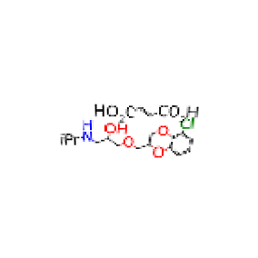 CC(C)NCC(O)COCC1COc2c(Cl)cccc2O1.O=C(O)/C=C/C(=O)O